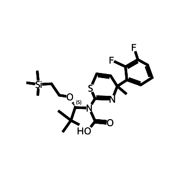 CC1(c2cccc(F)c2F)C=CSC(N(C(=O)O)[C@@H](OCC[Si](C)(C)C)C(C)(C)C)=N1